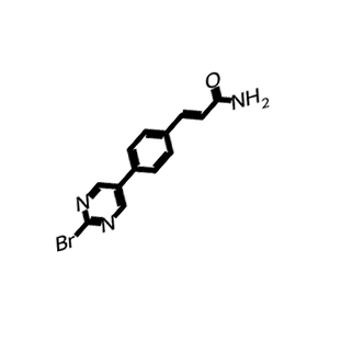 NC(=O)C=Cc1ccc(-c2cnc(Br)nc2)cc1